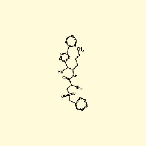 CCCCC(NC(=O)C(N)CS(=O)(=O)Cc1ccccc1)C(O)c1nnc(-c2ccccc2)o1